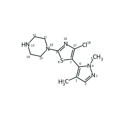 Cc1cnn(C)c1-c1sc(N2CCNCC2)nc1Cl